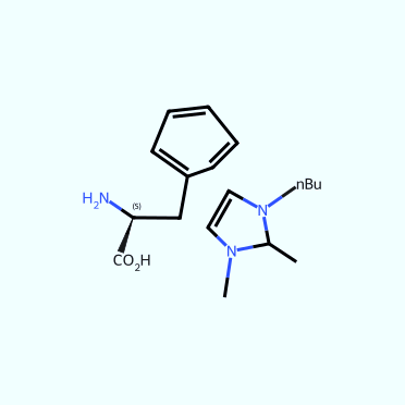 CCCCN1C=CN(C)C1C.N[C@@H](Cc1ccccc1)C(=O)O